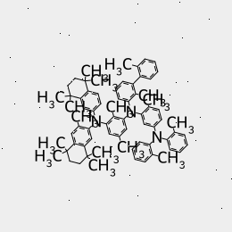 Cc1cc(N(c2ccc3c(c2)C(C)(C)CCC3(C)C)c2cc3c(cc2C)C(C)(C)CCC3(C)C)c(C)c(N(c2cc(N(c3ccccc3C)c3ccccc3C)ccc2C)c2cccc(-c3ccccc3C)c2C)c1